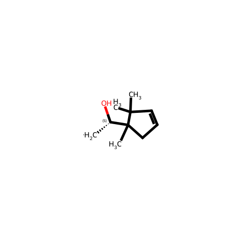 [CH2][C@H](O)C1(C)CC=CC1(C)C